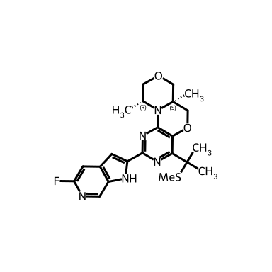 CSC(C)(C)c1nc(-c2cc3cc(F)ncc3[nH]2)nc2c1OC[C@]1(C)COC[C@@H](C)N21